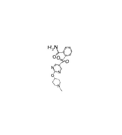 CN1CCC(Oc2ncc(S(=O)(=O)c3ccccc3C(N)=O)cn2)CC1